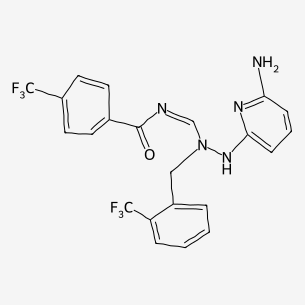 Nc1cccc(NN(/C=N\C(=O)c2ccc(C(F)(F)F)cc2)Cc2ccccc2C(F)(F)F)n1